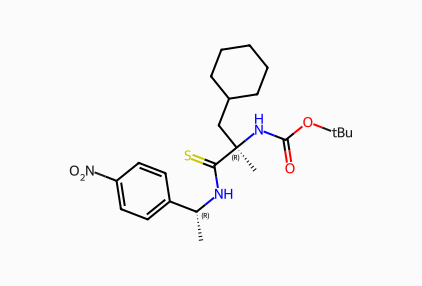 C[C@@H](NC(=S)[C@@](C)(CC1CCCCC1)NC(=O)OC(C)(C)C)c1ccc([N+](=O)[O-])cc1